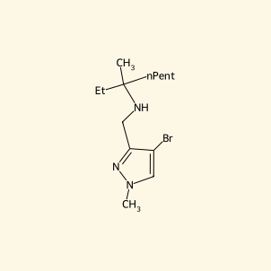 CCCCCC(C)(CC)NCc1nn(C)cc1Br